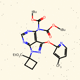 CCOC(=O)C1(n2nc(Oc3cc(C(F)(F)F)ccn3)c3c(N(C(=O)OC(C)(C)C)C(=O)OC(C)(C)C)ncnc32)CCC1